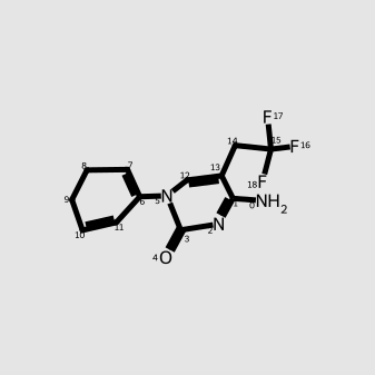 Nc1nc(=O)n(C2=CCCC=C2)cc1CC(F)(F)F